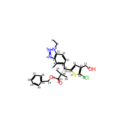 CCn1nnc2c(C)c([C@H](c3cc(CO)c(Cl)s3)C(C)(C)C(=O)OCc3ccccc3)ccc21